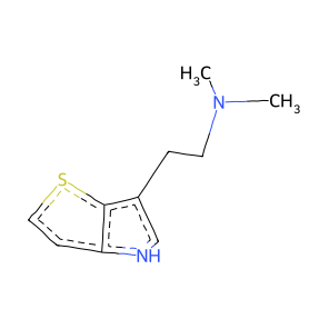 CN(C)CCc1c[nH]c2ccsc12